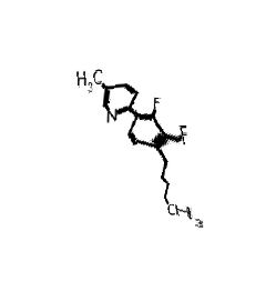 CCCCCc1ccc(-c2ccc(C)cn2)c(F)c1F